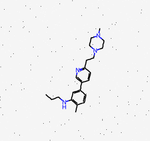 CCCNc1cc(-c2ccc(CCN3CCN(C)CC3)nc2)ccc1C